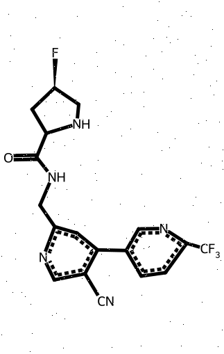 N#Cc1cnc(CNC(=O)C2C[C@@H](F)CN2)cc1-c1ccc(C(F)(F)F)nc1